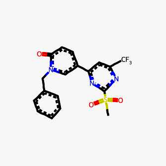 CS(=O)(=O)c1nc(-c2ccc(=O)n(Cc3ccccc3)c2)cc(C(F)(F)F)n1